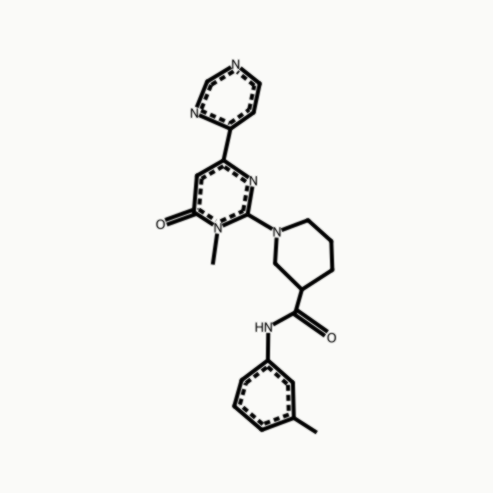 Cc1cccc(NC(=O)C2CCCN(c3nc(-c4ccncn4)cc(=O)n3C)C2)c1